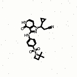 CC1(C)CCN1S(=O)(=O)c1ccc(Nc2nn(C(CC#N)C3CC3)c3cc[nH]c(=O)c23)cc1